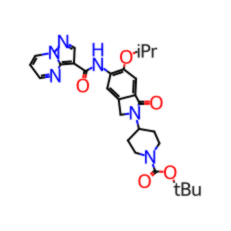 CC(C)Oc1cc2c(cc1NC(=O)c1cnn3cccnc13)CN(C1CCN(C(=O)OC(C)(C)C)CC1)C2=O